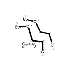 CCOCC[O-].CCOCC[O-].[GeH2+2]